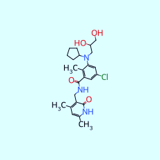 Cc1cc(C)c(CNC(=O)c2cc(Cl)cc(N(CC(O)CO)C3CCCC3)c2C)c(=O)[nH]1